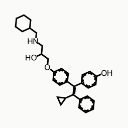 Oc1ccc(/C(=C(\c2ccccc2)C2CC2)c2ccc(OCC(O)CNCC3CCCCC3)cc2)cc1